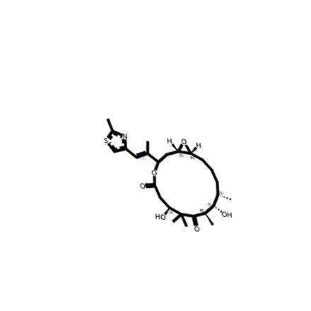 C/C(=C\c1csc(C)n1)C1C[C@@H]2O[C@@H]2CCC[C@H](C)[C@H](O)[C@@H](C)C(=O)C(C)(C)[C@@H](O)CC(=O)O1